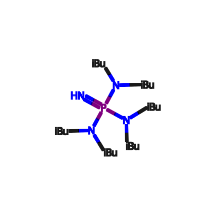 CCC(C)N(C(C)CC)P(=N)(N(C(C)CC)C(C)CC)N(C(C)CC)C(C)CC